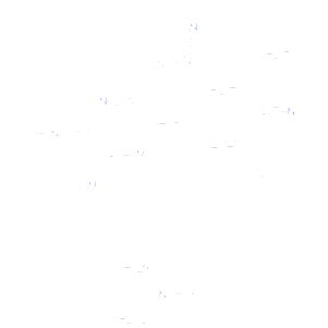 Cn1ccc(-c2nc(N)c(NCCc3cccn(C)c3=O)nc2-c2cc(Cl)c3ncccc3c2)n1